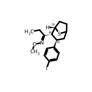 CCC(=NOC)[C@@H]1[C@@H]2CCC(C[C@H]1c1ccc(I)cc1)S2